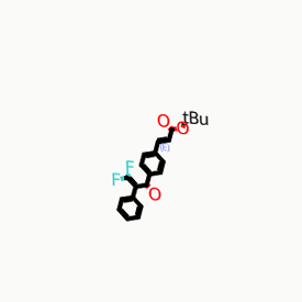 CC(C)(C)OC(=O)/C=C/c1ccc(C(=O)C(=C(F)F)c2ccccc2)cc1